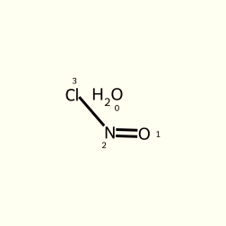 O.O=NCl